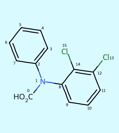 O=C(O)N(c1ccccc1)c1cccc(Cl)c1Cl